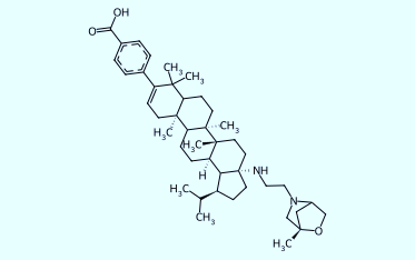 CC(C)[C@@H]1CC[C@]2(NCCN3C[C@]4(C)CC3CO4)CC[C@]3(C)[C@H](CCC4[C@@]5(C)CC=C(c6ccc(C(=O)O)cc6)C(C)(C)C5CC[C@]43C)C12